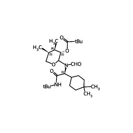 C[C@@H]1[C@H](C)COC(N(C=O)[C@H](C(=O)NC(C)(C)C)C2CCC(C)(C)CC2)[C@H]1OC(=O)C(C)(C)C